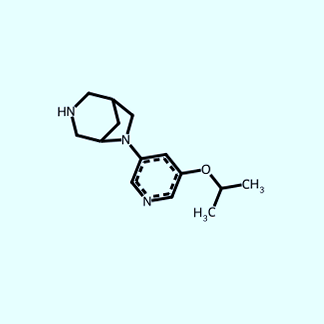 CC(C)Oc1cncc(N2CC3CNCC2C3)c1